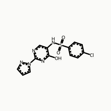 O=S(=O)(Nc1cnc(-n2cccn2)nc1O)c1ccc(Cl)cc1